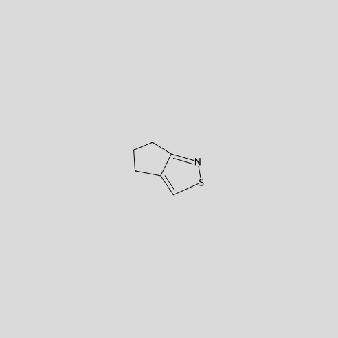 c1snc2c1CCC2